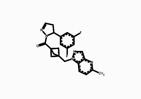 Cc1ccc2c(cnn2CC23CC(C(=O)N4N=CCC4c4cc(F)cc(F)c4)(C2)C3)n1